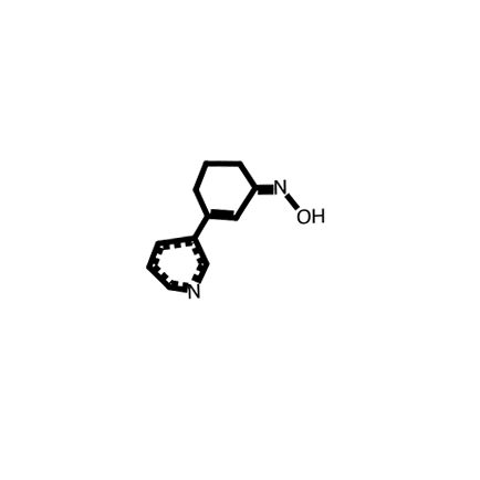 ON=C1C=C(c2cccnc2)CCC1